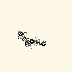 C=CC(N1CCN(c2c(Cl)cncc2Cl)CC1)S(=O)(=O)c1ccc(NC(=O)NCc2cccnc2)cc1